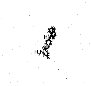 N[C@@H]1C[C@H](F)CN1C(=O)CN1CCC(Nc2cccc3ncccc23)CC1